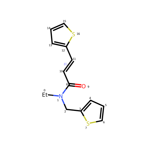 CCN(Cc1cccs1)C(=O)/C=C/c1cccs1